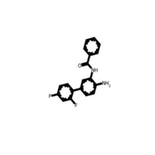 Nc1ccc(-c2ccc(F)cc2F)cc1NC(=O)c1ccccc1